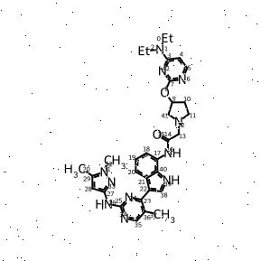 CCN(CC)c1ccnc(OC2CCN(CC(=O)Nc3cccc4c(-c5nc(Nc6cc(C)n(C)n6)ncc5C)c[nH]c34)C2)n1